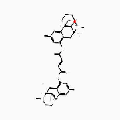 CN1CC[C@]23CCCC[C@H]2[C@H]1Cc1c(OC(=O)/C=C/C(=O)Oc2cc(Cl)cc4c2C[C@@H]2[C@@H]5CCCC[C@]45CCN2C)cc(Cl)cc13